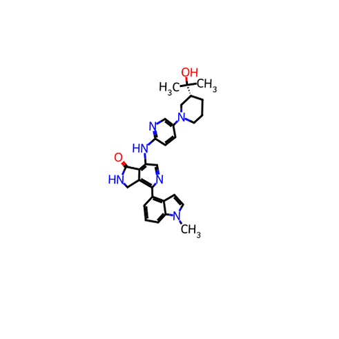 Cn1ccc2c(-c3ncc(Nc4ccc(N5CCC[C@@H](C(C)(C)O)C5)cn4)c4c3CNC4=O)cccc21